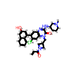 C=CC(=O)N1CC(Cn2c(=O)c(N[C@@H]3CCCN(C)C3)nc3cc(-c4cc(O)cc5ccccc45)c(Cl)cc32)C1